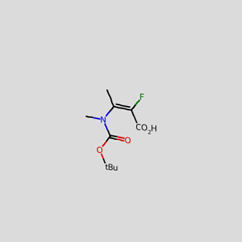 C/C(=C(\F)C(=O)O)N(C)C(=O)OC(C)(C)C